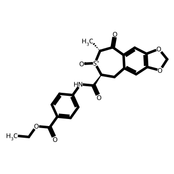 CCOC(=O)c1ccc(NC(=O)[C@@H]2Cc3cc4c(cc3C(=O)[C@@H](C)[S+]2[O-])OCO4)cc1